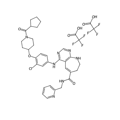 O=C(NCc1ccccn1)C1=Cc2c(ncnc2Nc2ccc(OC3CCN(C(=O)C4CCCC4)CC3)c(Cl)c2)NCC1.O=C(O)C(F)(F)F.O=C(O)C(F)(F)F